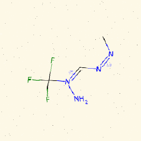 C/N=N\C=[N+](/N)C(F)(F)F